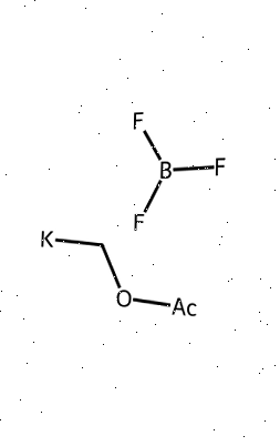 CC(=O)O[CH2][K].FB(F)F